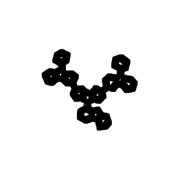 c1ccc(-n2c3ccccc3c3cc(-c4ccc5c(c4)c4cc(-c6ccc7c(c6)c6ccccc6n7-c6ccccc6)ccc4n5-c4cccc5c4Cc4ccccc4-5)ccc32)cc1